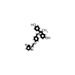 Cc1c(-c2ccc(O)cc2)n(Cc2ccc(OCCN3C[C@@H]4CC[C@H]3C4)cc2)c2ccc(O)cc12